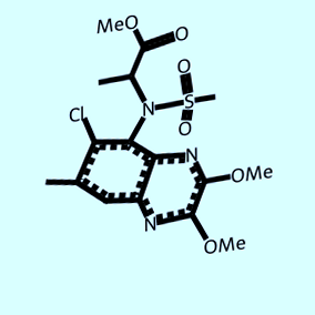 COC(=O)C(C)N(c1c(Cl)c(C)cc2nc(OC)c(OC)nc12)S(C)(=O)=O